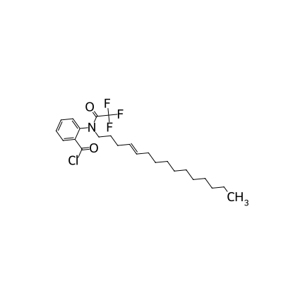 CCCCCCCCCCC=CCCCN(C(=O)C(F)(F)F)c1ccccc1C(=O)Cl